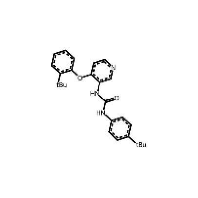 CC(C)(C)c1ccc(NC(=O)Nc2cnccc2Oc2ccccc2C(C)(C)C)cc1